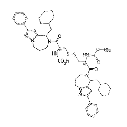 CC(C)(C)OC(=O)N[C@@H](CSSC[C@H](NC(=O)O)C(=O)N1CCCn2nc(-c3ccccc3)cc2C1CC1CCCCC1)C(=O)N1CCCn2nc(-c3ccccc3)cc2C1CC1CCCCC1